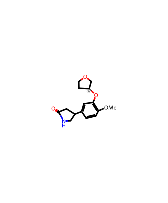 COc1ccc(C2CNC(=O)C2)cc1O[C@H]1CCOC1